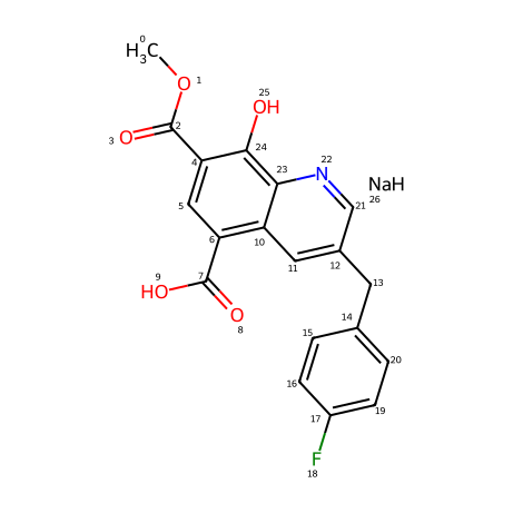 COC(=O)c1cc(C(=O)O)c2cc(Cc3ccc(F)cc3)cnc2c1O.[NaH]